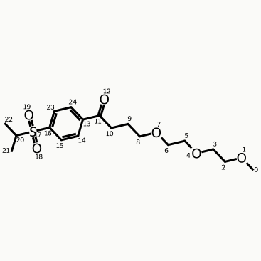 COCCOCCOCCCC(=O)c1ccc(S(=O)(=O)C(C)C)cc1